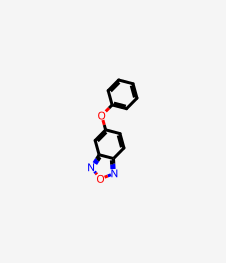 c1ccc(Oc2ccc3nonc3c2)cc1